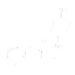 NC1CCC(NS(=O)(=O)NCc2ccccc2)CC1